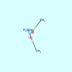 CCCCCCCCCCSSCCOC(=O)CCN(CCCN(C)C)CCC(=O)OCCSSCCCCCCCCCC